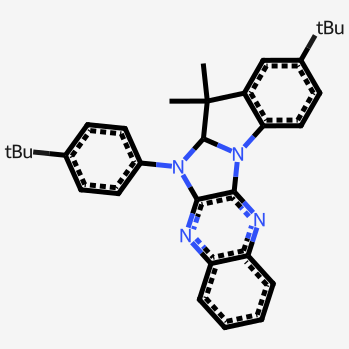 CC(C)(C)c1ccc(N2c3nc4ccccc4nc3N3c4ccc(C(C)(C)C)cc4C(C)(C)C23)cc1